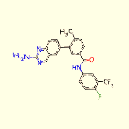 Cc1ccc(C(=O)Nc2ccc(F)c(C(F)(F)F)c2)cc1-c1ccc2nc(N)ncc2c1